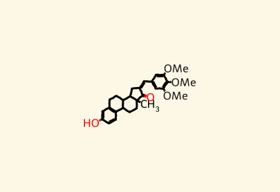 COc1cc(C=C2CC3C4CCc5cc(O)ccc5C4CCC3(C)C2=O)cc(OC)c1OC